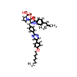 CCCCCCCOc1ccc(-c2cnc(-c3ccc(C[C@H](NC(=O)c4ccc(CC(C)C)cc4)C(O)N4CCC[C@H]4C(=O)O)cc3)nc2)cc1